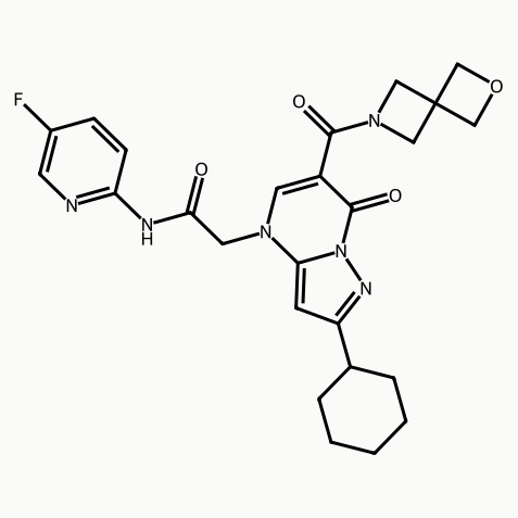 O=C(Cn1cc(C(=O)N2CC3(COC3)C2)c(=O)n2nc(C3CCCCC3)cc12)Nc1ccc(F)cn1